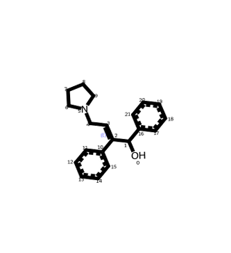 OC(/C(=C/CN1CCCC1)c1ccccc1)c1ccccc1